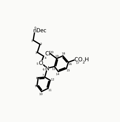 CCCCCCCCCCCCCCON(c1ccccc1)c1ccc(C(=O)O)cc1Cl